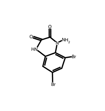 Nn1c(=O)c(=O)[nH]c2cc(Br)cc(Br)c21